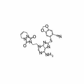 N#Cc1cc2c(cc1Sc1nc3c(N)ncn(CCn4c(=O)n5n(c4=O)CC=CC5)c-3n1)OCO2